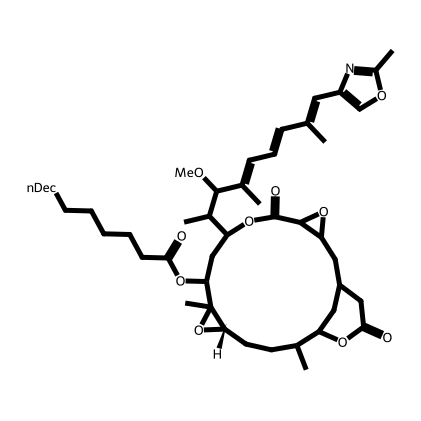 CCCCCCCCCCCCCCCC(=O)OC1CC(C(C)C(OC)/C(C)=C/C=C/C(C)=C/c2coc(C)n2)OC(=O)C2OC2CC2CC(=O)OC(C2)C(C)CC[C@@H]2OC12C